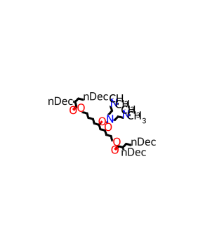 CCCCCCCCCCCCC(CCCCCCCCCC)C(=O)OCCCCCC(CCCCCOC(=O)C(CCCCCCCCCC)CCCCCCCCCCCC)OC(=O)N(CCCN(C)C)CCCN(C)C